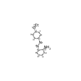 CCOc1ccc(N=Nc2ccccc2N)cc1